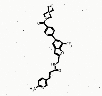 Nc1ccc(C=CC(=O)NCc2cc3cc(-c4ccc(C(=O)N5CC6(COC6)C5)cn4)cc(C(F)(F)F)c3o2)cn1